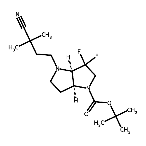 CC(C)(C#N)CCN1CC[C@H]2[C@@H]1C(F)(F)CN2C(=O)OC(C)(C)C